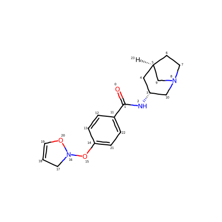 O=C(N[C@@H]1C[C@H]2CCN(C2)C1)c1ccc(ON2CC=CO2)cc1